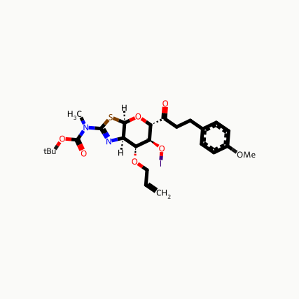 C=CCO[C@@H]1[C@H]2N=C(N(C)C(=O)OC(C)(C)C)S[C@H]2O[C@H](C(=O)CCc2ccc(OC)cc2)[C@H]1OI